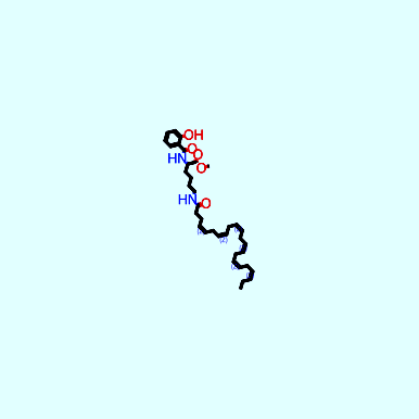 CC/C=C\C/C=C\C/C=C\C/C=C\C/C=C\C/C=C\CCC(=O)NCCCCC(NC(=O)c1ccccc1O)C(=O)OC